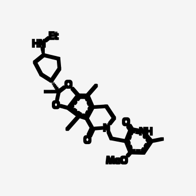 CCN[C@H]1CC[C@H](C2(C)Oc3c(C)c4c(c(C)c3O2)C(=O)N(Cc2c(OC)cc(C)[nH]c2=O)CC4)CC1